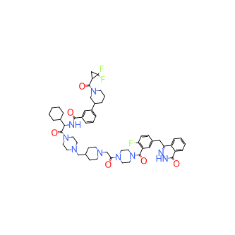 O=C(N[C@@H](C(=O)N1CCN(CC2CCN(CC(=O)N3CCN(C(=O)c4cc(Cc5n[nH]c(=O)c6ccccc56)ccc4F)CC3)CC2)CC1)C1CCCCC1)c1cccc(C2CCCN(C(=O)C3CC3(F)F)C2)c1